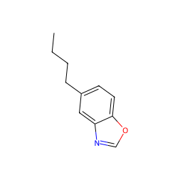 CCCCc1ccc2ocnc2c1